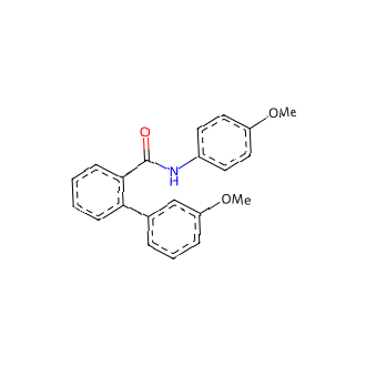 COc1ccc(NC(=O)c2ccccc2-c2cccc(OC)c2)cc1